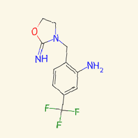 N=C1OCCN1Cc1ccc(C(F)(F)F)cc1N